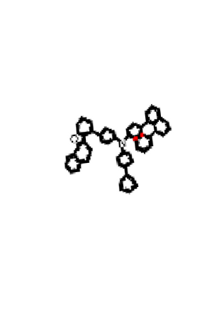 c1ccc(-c2ccc(N(c3ccc(-c4cccc5cccc(-c6ccccc6)c45)cc3)c3ccc(-c4cccc5oc6c7ccccc7ccc6c45)cc3)cc2)cc1